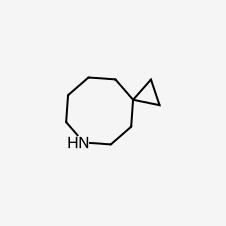 C1CCC2(CCNC1)CC2